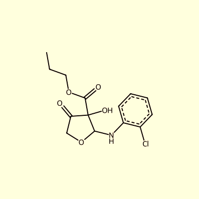 CCCOC(=O)C1(O)C(=O)COC1Nc1ccccc1Cl